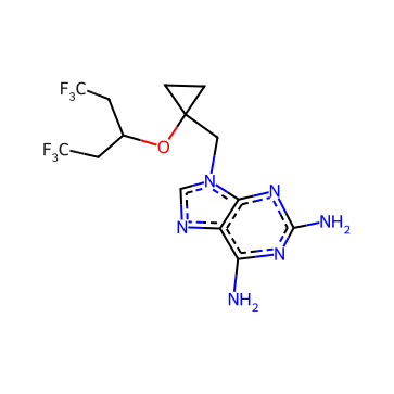 Nc1nc(N)c2ncn(CC3(OC(CC(F)(F)F)CC(F)(F)F)CC3)c2n1